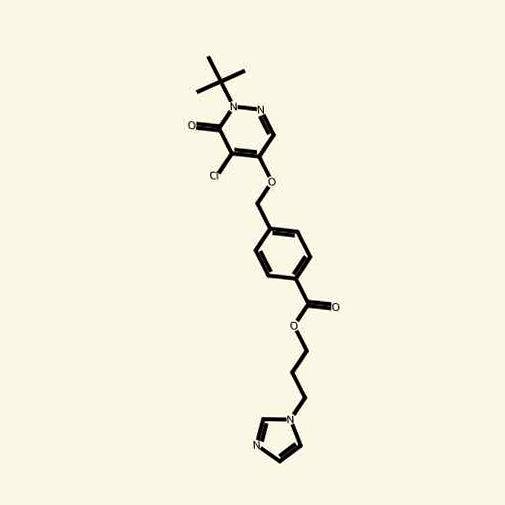 CC(C)(C)n1ncc(OCc2ccc(C(=O)OCCCn3ccnc3)cc2)c(Cl)c1=O